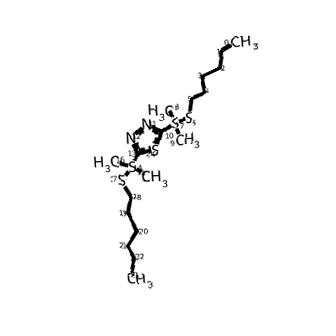 CCCCCCSS(C)(C)c1nnc(S(C)(C)SCCCCCC)s1